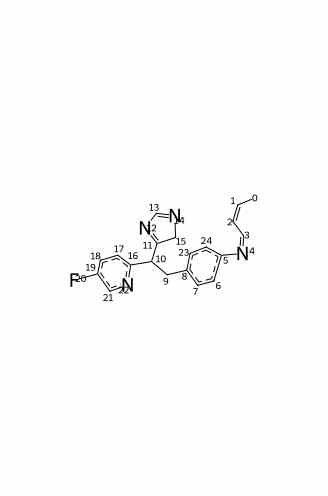 C/C=C\C=N/c1ccc(CC(C2=NC=NC2)c2ccc(F)cn2)cc1